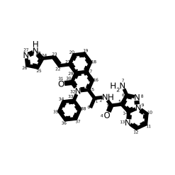 CC(NC(=O)c1c(N)nn2cccnc12)c1cc2cccc(/C=C/c3ccn[nH]3)c2c(=O)n1-c1ccccc1